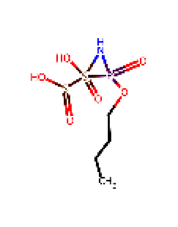 CCCCOP1(=O)NS1(=O)(O)S(=O)O